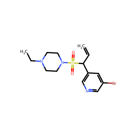 C=CC(c1cncc(Br)c1)S(=O)(=O)N1CCN(CC)CC1